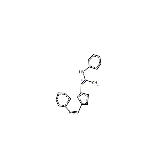 C/C(=C\c1ccc(/C=N\c2ccccc2)s1)Nc1ccccc1